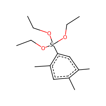 CCO[Si](OCC)(OCC)c1cc(C)c(C)cc1C